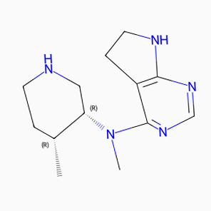 C[C@@H]1CCNC[C@@H]1N(C)c1ncnc2c1CCN2